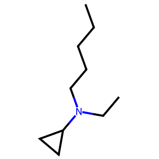 CCCCCN(CC)C1CC1